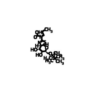 CCCN(C(=O)O)C1=N[C@@H]2[C@@H](O)[C@H](O)[C@@H](CO[Si](C)(C)C(C)(C)C)O[C@@H]2S1